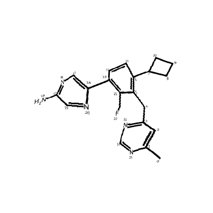 Cc1cc(Cc2c(C3CCC3)ccc(-c3cnc(N)cn3)c2F)ncn1